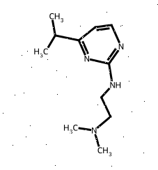 CC(C)c1ccnc(NCCN(C)C)n1